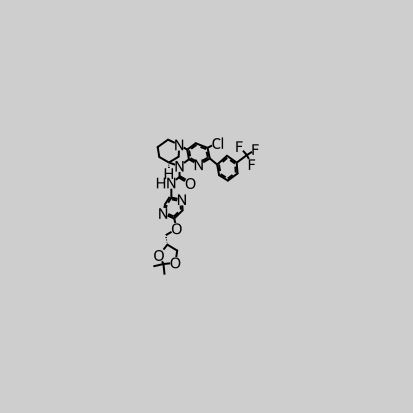 CC1(C)OC[C@@H](COc2cnc(NC(=O)N3c4nc(-c5cccc(C(F)(F)F)c5)c(Cl)cc4N4CCC[C@H]3C4)cn2)O1